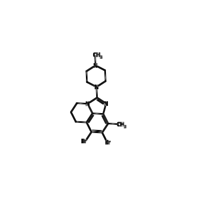 Cc1c(Br)c(Br)c2c3c1nc(N1CCN(C)CC1)n3CCC2